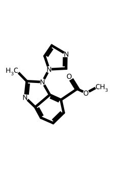 COC(=O)c1cccc2nc(C)n(-n3ccnc3)c12